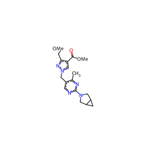 COCc1nn(Cc2cnc(N3CC4CC4C3)nc2C)cc1C(=O)OC